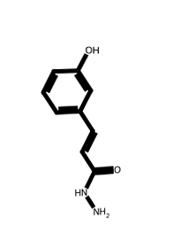 NNC(=O)C=Cc1cccc(O)c1